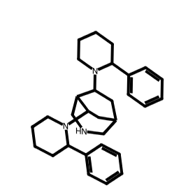 c1ccc(C2CCCCN2C2CC3CNCC2C(N2CCCCC2c2ccccc2)C3)cc1